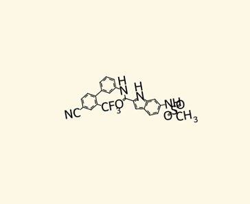 CS(=O)(=O)Nc1ccc2cc(C(=O)Nc3cccc(-c4ccc(C#N)cc4C(F)(F)F)c3)[nH]c2c1